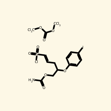 NC(=O)OCC(CC=CS(=O)(=O)Cl)Oc1ccc(I)cc1.O=C(OC(Cl)(Cl)Cl)OC(Cl)(Cl)Cl